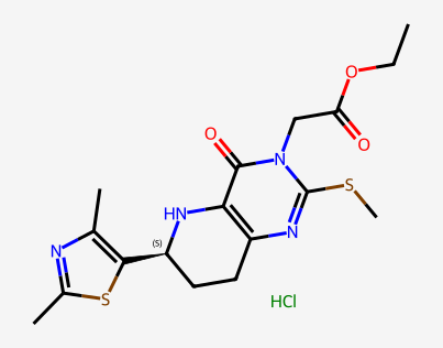 CCOC(=O)Cn1c(SC)nc2c(c1=O)N[C@H](c1sc(C)nc1C)CC2.Cl